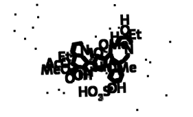 CC[C@]1(O)C[C@H]2CN(CCc3c([nH]c4ccccc34)[C@@](C(=O)OC)(c3cc4c(cc3OC)N(C)[C@H]3[C@@](O)(C(=O)OC)[C@H](OC(C)=O)[C@]5(CC)C=CCN6CC[C@]43C65)C2)C1.O=S(=O)(O)O